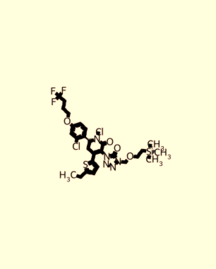 CCc1ccc(C2=C(n3nnn(COCC[Si](C)(C)C)c3=O)C(=O)N(Cl)[C@H](c3ccc(OCCCC(F)(F)F)cc3Cl)C2)s1